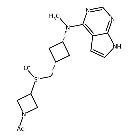 CC(=O)N1CC([S+]([O-])C[C@H]2C[C@@H](N(C)c3ncnc4[nH]ccc34)C2)C1